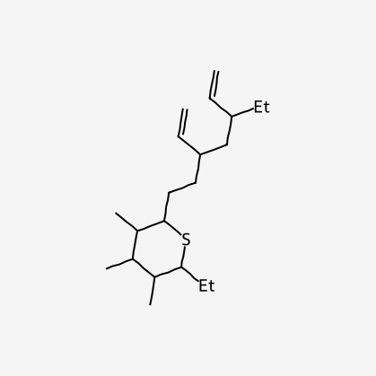 C=CC(CC)CC(C=C)CCC1SC(CC)C(C)C(C)C1C